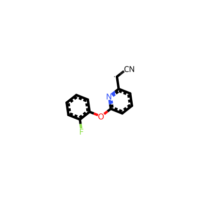 N#C[CH]c1cccc(Oc2ccccc2F)n1